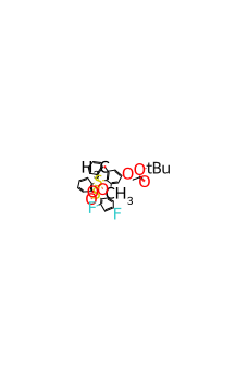 Cc1cc(OCC(=O)OC(C)(C)C)cc(C)c1S(OS(=O)(=O)c1ccc(F)cc1F)(c1ccccc1)c1ccccc1